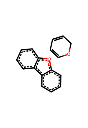 C1=CCOC=C1.c1ccc2c(c1)oc1ccccc12